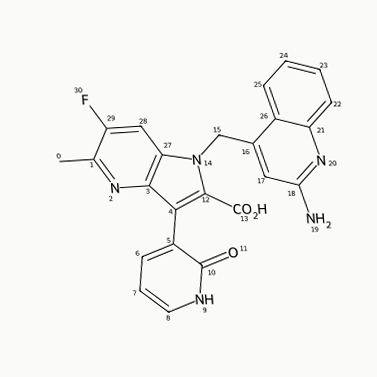 Cc1nc2c(-c3ccc[nH]c3=O)c(C(=O)O)n(Cc3cc(N)nc4ccccc34)c2cc1F